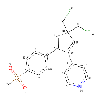 CS(=O)(=O)c1ccc(C2=CC(CF)(CF)C=C2c2ccncc2)cc1